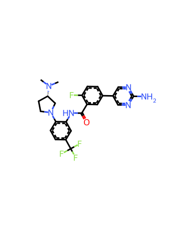 CN(C)[C@H]1CCN(c2ccc(C(F)(F)F)cc2NC(=O)c2cc(-c3cnc(N)nc3)ccc2F)C1